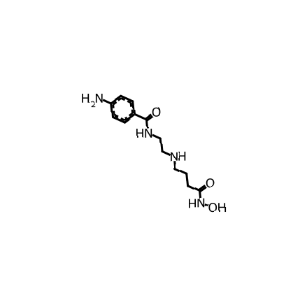 Nc1ccc(C(=O)NCCNCCCC(=O)NO)cc1